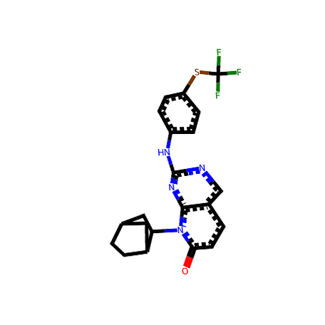 O=c1ccc2cnc(Nc3ccc(SC(F)(F)F)cc3)nc2n1C1CC2CCC1C2